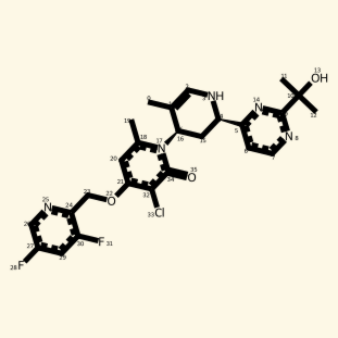 CC1=CN[C@@H](c2ccnc(C(C)(C)O)n2)C[C@H]1n1c(C)cc(OCc2ncc(F)cc2F)c(Cl)c1=O